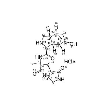 C[C@@](C[C@@H]1CCNC1=O)(NC(=O)[C@H]1NC[C@@H]2[C@H]3C[C@@H]([C@@H]21)[C@H](O)C3)C(N)=O.Cl